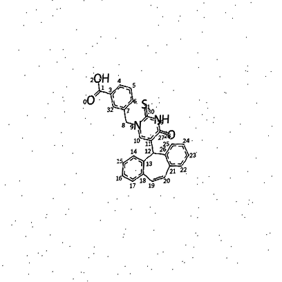 O=C(O)c1cccc(Cn2cc(C3c4ccccc4C=Cc4ccccc43)c(=O)[nH]c2=S)c1